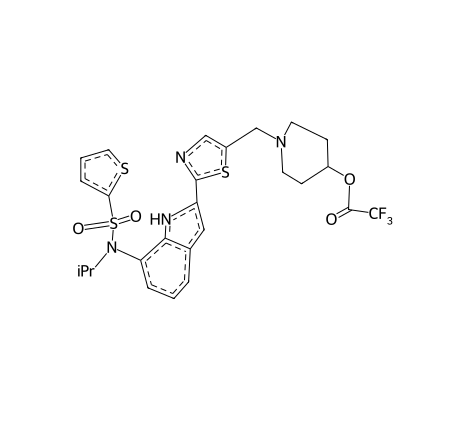 CC(C)N(c1cccc2cc(-c3ncc(CN4CCC(OC(=O)C(F)(F)F)CC4)s3)[nH]c12)S(=O)(=O)c1cccs1